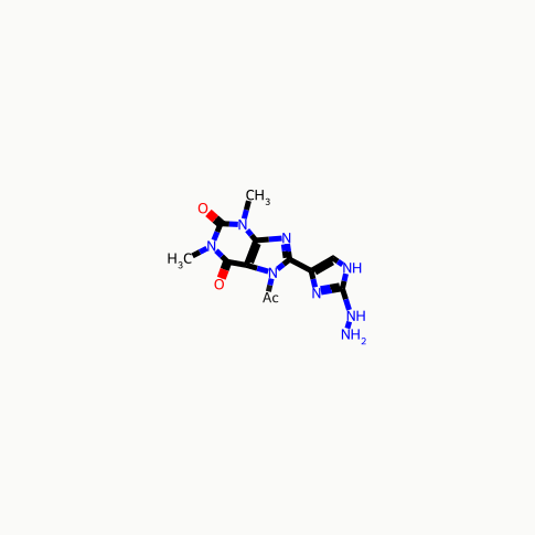 CC(=O)n1c(-c2c[nH]c(NN)n2)nc2c1c(=O)n(C)c(=O)n2C